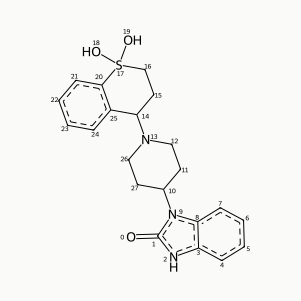 O=c1[nH]c2ccccc2n1C1CCN(C2CCS(O)(O)c3ccccc32)CC1